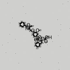 COc1cc(S(=O)(=O)N2c3ccccc3C[C@H]2OC(=O)O)ccc1OCc1nc(-c2ccccc2)oc1C